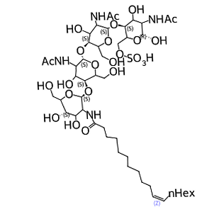 CCCCCC/C=C\CCCCCCCCCC(=O)NC1C(O)[C@H](O)C(CO)O[C@H]1O[C@@H]1C(CO)O[C@@H](O[C@@H]2C(CO)O[C@@H](O[C@@H]3C(COS(=O)(=O)O)O[C@@H](O)C(NC(C)=O)C3O)C(NC(C)=O)C2O)C(NC(C)=O)C1O